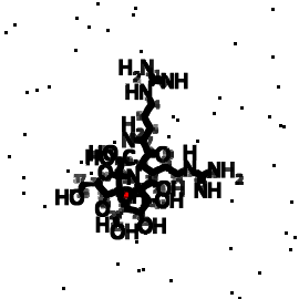 N=C(N)NCCCC(N)C(=O)[C@](CCCNC(=N)N)(C(=O)O)N(C1(CO)O[C@@H](CO)[C@H](O)[C@H]1O)C1(CO)O[C@H](CO)[C@@H](O)[C@@H]1O